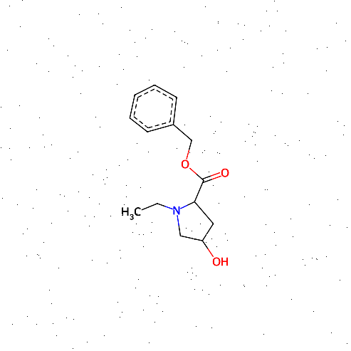 CCN1CC(O)CC1C(=O)OCc1ccccc1